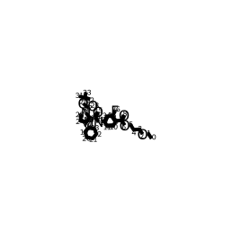 CCOCCCOC(=O)c1ccc(NC(=O)[C@@H]2[C@H](C3CCCCC3)CCN2C(=O)OC(C)(C)C)cc1F